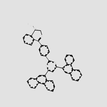 C[C@H]1CN=C(c2ccc(-c3nc(-c4cc5ccccc5c5ccccc45)cc(-c4cc5ccccc5c5ccccc45)n3)cc2)c2ccccc21